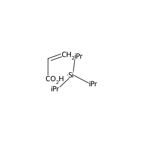 C=CC(=O)O.CC(C)[Si](C(C)C)C(C)C